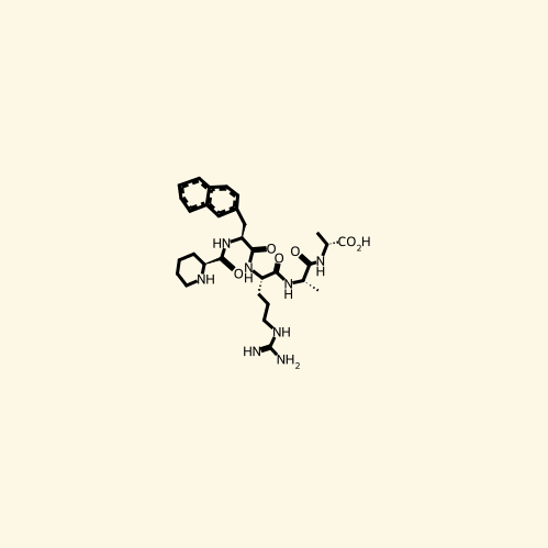 C[C@H](NC(=O)[C@H](CCCNC(=N)N)NC(=O)[C@H](Cc1ccc2ccccc2c1)NC(=O)[C@@H]1CCCCN1)C(=O)N[C@H](C)C(=O)O